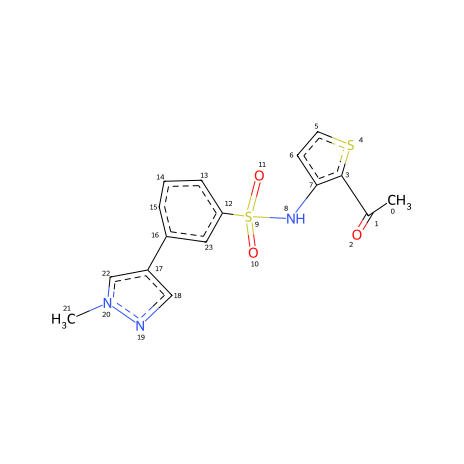 CC(=O)c1sccc1NS(=O)(=O)c1cccc(-c2cnn(C)c2)c1